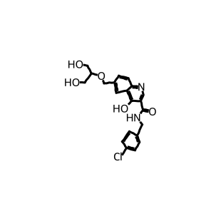 O=C(NCc1ccc(Cl)cc1)c1cnc2ccc(COC(CO)CO)cc2c1O